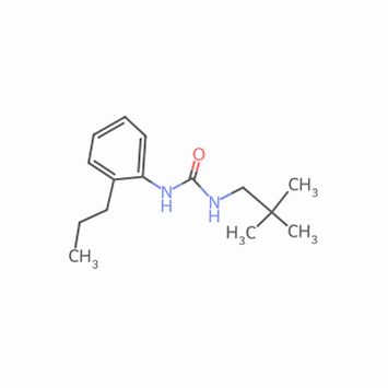 CCCc1ccccc1NC(=O)NCC(C)(C)C